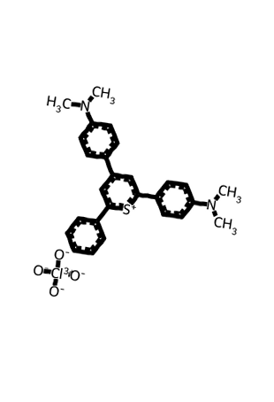 CN(C)c1ccc(-c2cc(-c3ccccc3)[s+]c(-c3ccc(N(C)C)cc3)c2)cc1.[O-][Cl+3]([O-])([O-])[O-]